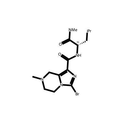 CNC(=O)[C@H](CC(C)C)NC(=O)c1nc(Br)n2c1CN(C)CC2